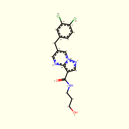 O=C(NCCCO)c1cnn2cc(Cc3ccc(Cl)c(Cl)c3)cnc12